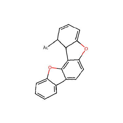 CC(=O)C1C=CC=C2Oc3ccc4c(oc5ccccc54)c3C21